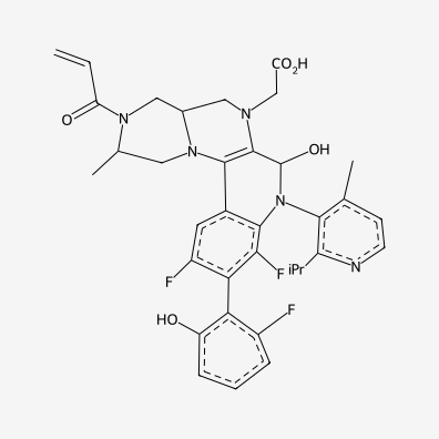 C=CC(=O)N1CC2CN(CC(=O)O)C3=C(c4cc(F)c(-c5c(O)cccc5F)c(F)c4N(c4c(C)ccnc4C(C)C)C3O)N2CC1C